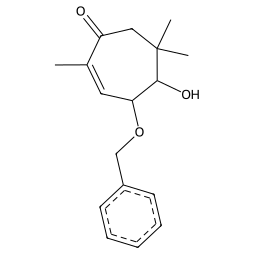 CC1=CC(OCc2ccccc2)C(O)C(C)(C)CC1=O